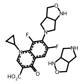 C1NCC2NOCC12.O=C(O)c1cn(C2CC2)c2c(F)c(N3CC4CONC4C3)c(F)cc2c1=O